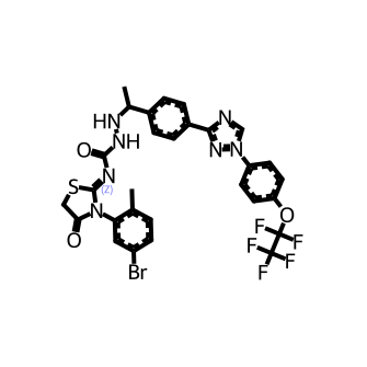 Cc1ccc(Br)cc1N1C(=O)CS/C1=N\C(=O)NNC(C)c1ccc(-c2ncn(-c3ccc(OC(F)(F)C(F)(F)F)cc3)n2)cc1